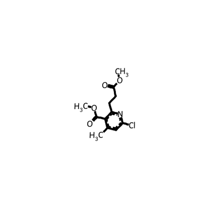 COC(=O)CCc1nc(Cl)cc(C)c1C(=O)OC